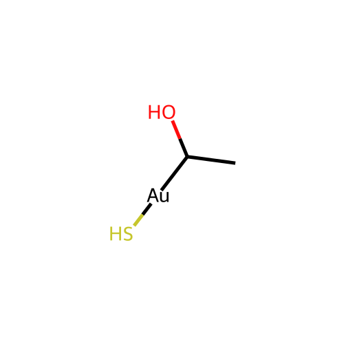 C[CH](O)[Au][SH]